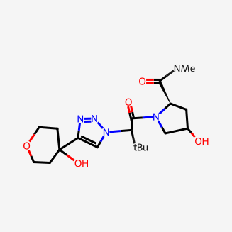 CNC(=O)[C@H]1CC(O)CN1C(=O)C(n1cc(C2(O)CCOCC2)nn1)C(C)(C)C